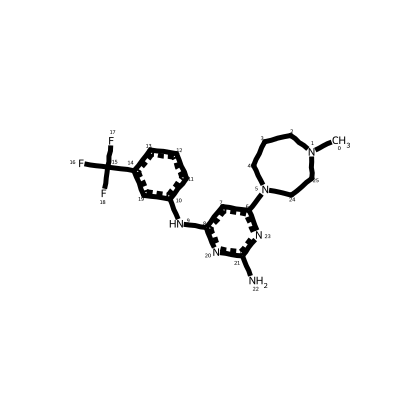 CN1CCCN(c2cc(Nc3cccc(C(F)(F)F)c3)nc(N)n2)CC1